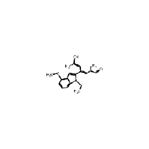 CCn1c(/C(C=C(C)C)=C/N(C)C=O)cc2c(SC)cccc21